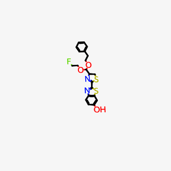 Oc1ccc2nc(C3=NC(C(OCCF)OCCc4ccccc4)CS3)sc2c1